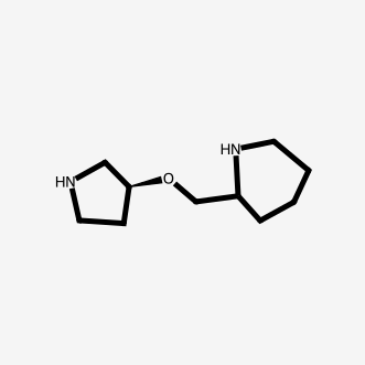 C1CCC(CO[C@H]2CCNC2)NC1